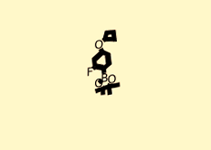 CC1(C)OB(c2ccc(OC3CCC3)cc2F)OC1(C)C